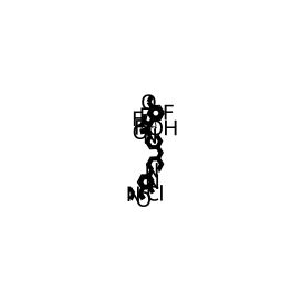 COc1cc(F)cc([C@@](O)(C(=O)N2CCC(CC3CCN(c4ccc(C(=O)N(C)C)c(Cl)n4)CC3)CC2)C(F)(F)F)c1